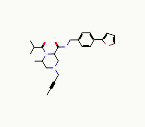 CC#CCN1CC(C)N(C(=O)C(C)C)C(C(=O)NCc2ccc(-c3ccco3)cc2)C1